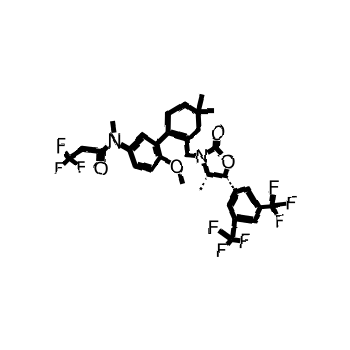 COc1ccc(N(C)C(=O)CC(F)(F)F)cc1C1=C(CN2C(=O)O[C@H](c3cc(C(F)(F)F)cc(C(F)(F)F)c3)[C@@H]2C)CC(C)(C)CC1